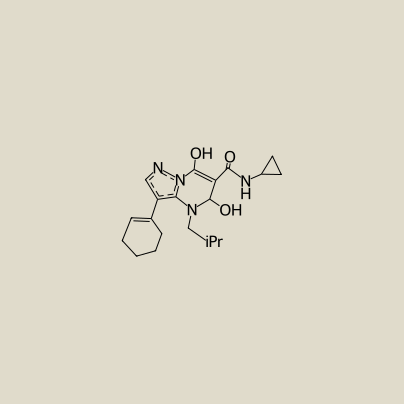 CC(C)CN1c2c(C3=CCCCC3)cnn2C(O)=C(C(=O)NC2CC2)C1O